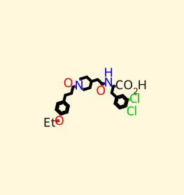 CCOc1ccc(CCC(=O)N2CCC(CC(=O)NC(Cc3ccc(Cl)c(Cl)c3)C(=O)O)CC2)cc1